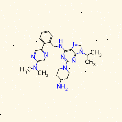 CC(C)n1cnc2c(NCc3ccccc3-c3cnc(N(C)C)cn3)nc(N3CCC(N)CC3)nc21